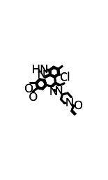 C=CC(=O)N1CCC(n2nc(-c3ccc4c(c3)C(=O)OC4)c(-c3c(Cl)c(C)cc4[nH]ncc34)c2C)CC1